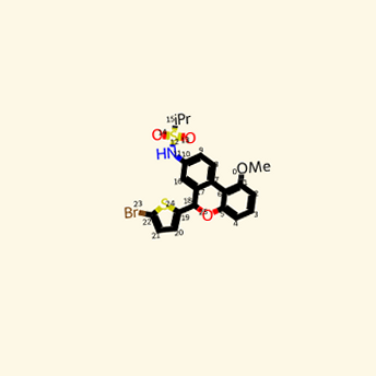 COc1cccc2c1-c1ccc(NS(=O)(=O)C(C)C)cc1C(c1ccc(Br)s1)O2